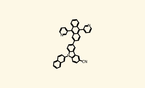 N#Cc1ccc2c(c1)c1cc(-c3ccc4c(-c5cccnc5)c5ccccc5c(-c5cccnc5)c4c3)ccc1n2-c1ccc2ccccc2c1